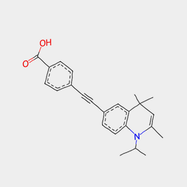 CC1=CC(C)(C)c2cc(C#Cc3ccc(C(=O)O)cc3)ccc2N1C(C)C